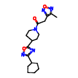 Cc1nonc1CC(=O)N1CCC(c2nc(C3CCCCC3)no2)CC1